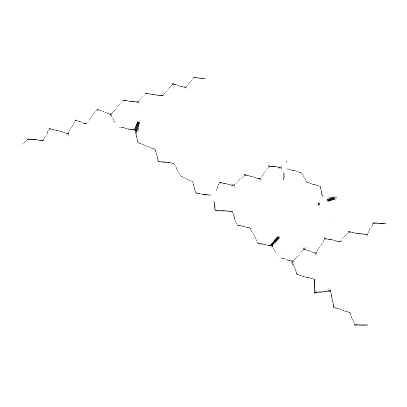 CCCCCCCCC(CCCCCCCC)NC(=O)CCCCCCCN(CCCCCC(=O)NC(CCCCCCCC)CCCCCCCC)CCCCC[N+](C)(C)CCCS(=O)(=O)[O-]